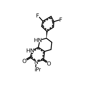 CC(C)n1c(=O)[nH]c2c(c1=O)CC[C@H](c1cc(F)cc(F)c1)N2